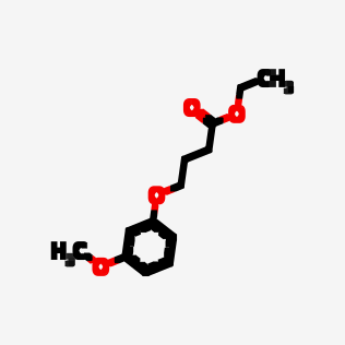 CCOC(=O)CCCOc1cccc(OC)c1